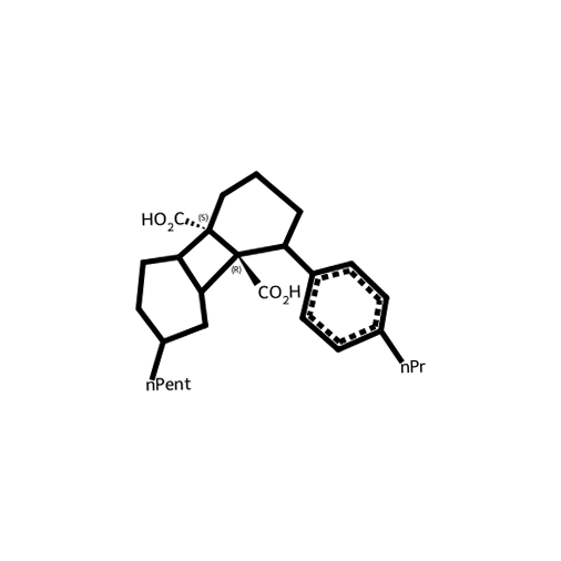 CCCCCC1CCC2C(C1)[C@@]1(C(=O)O)C(c3ccc(CCC)cc3)CCC[C@]21C(=O)O